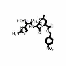 CC1C=C(C(=O)OCc2ccc([N+](=O)[O-])cc2)N2C(=O)C(NC(=O)/C(=N/O)c3csc(N)n3)[C@H]2S1